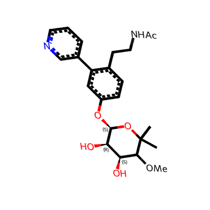 COC1[C@@H](O)[C@@H](O)[C@@H](Oc2ccc(CCNC(C)=O)c(-c3cccnc3)c2)OC1(C)C